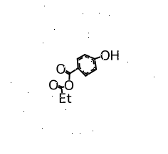 CCC(=O)OC(=O)c1ccc(O)cc1